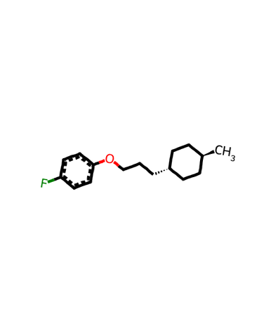 C[C@H]1CC[C@H](CCCOc2ccc(F)cc2)CC1